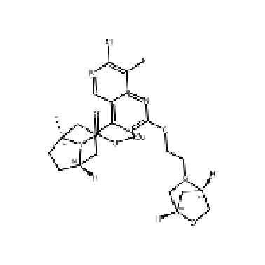 CC(C)(C)OC(=O)N1[C@H]2CC[C@H]1CN(c1nc(OCCN3C[C@@H]4C[C@H]3CO4)nc3c(F)c(Cl)ncc13)C2